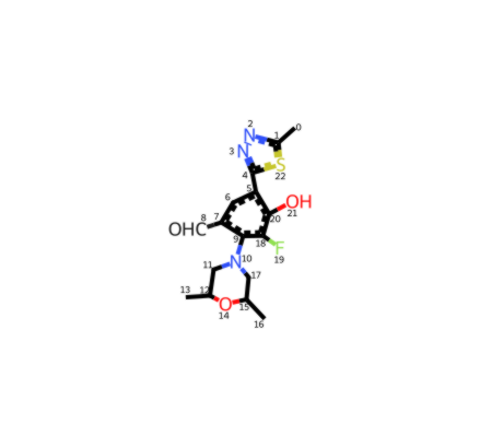 Cc1nnc(-c2cc(C=O)c(N3CC(C)OC(C)C3)c(F)c2O)s1